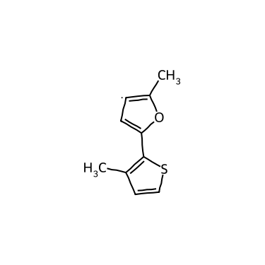 Cc1[c]cc(-c2sccc2C)o1